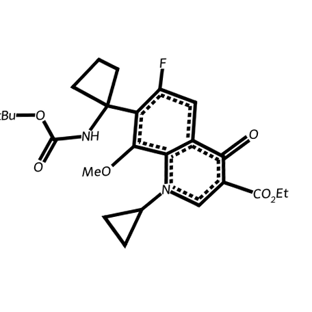 CCOC(=O)c1cn(C2CC2)c2c(OC)c(C3(NC(=O)OC(C)(C)C)CCC3)c(F)cc2c1=O